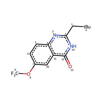 CC(C)(C)Cc1nc2ccc(OC(F)(F)F)cc2c(=O)[nH]1